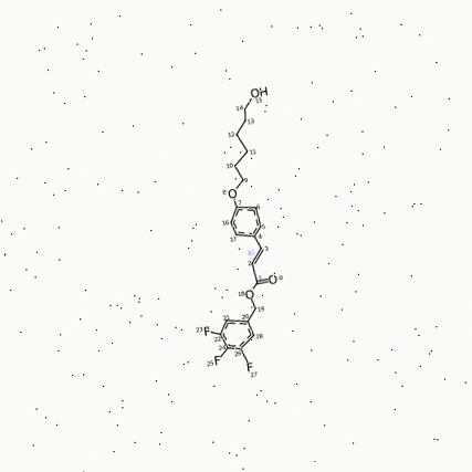 O=C(/C=C/c1ccc(OCCCCCCO)cc1)OCc1cc(F)c(F)c(F)c1